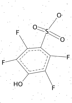 [O]S(=O)(=O)c1c(F)c(F)c(O)c(F)c1F